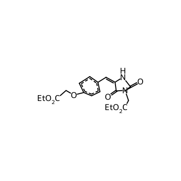 CCOC(=O)COc1ccc(C=C2NC(=O)N(CC(=O)OCC)C2=O)cc1